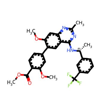 COC(=O)c1ccc(-c2cc3c(N[C@H](C)c4cccc(C(F)(F)F)c4)nc(C)nc3cc2OC)cc1OC